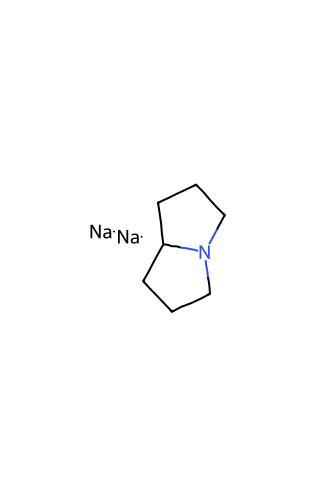 C1CC2CCCN2C1.[Na].[Na]